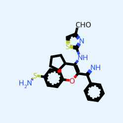 N=C(/C(Oc1ccc(SN)cc1)=C(\Nc1nc(C=O)cs1)C1CCCC1)c1ccccc1